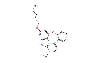 CCCCCOc1cc2[nH]c3c(C)ccc4c5ccccc5oc(c1)c2c34